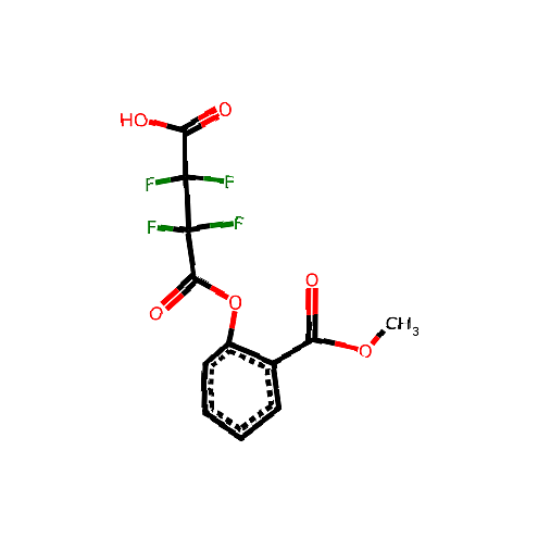 COC(=O)c1ccccc1OC(=O)C(F)(F)C(F)(F)C(=O)O